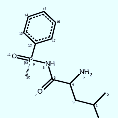 CC(C)CC(N)C(=O)N[P@@](C)(=O)c1ccccc1